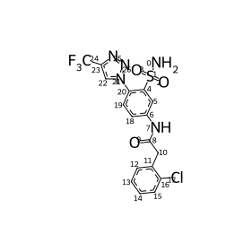 NS(=O)(=O)c1cc(NC(=O)Cc2ccccc2Cl)ccc1-n1cc(C(F)(F)F)nn1